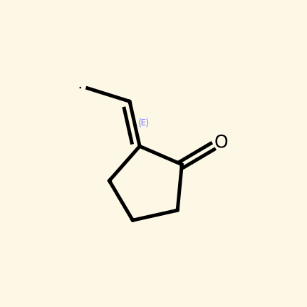 [CH2]/C=C1\CCCC1=O